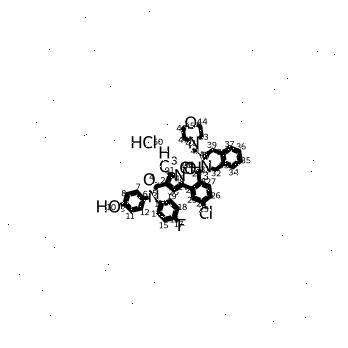 Cc1c(C(=O)N(c2ccc(O)cc2)c2ccc(F)cc2)cc(-c2cc(Cl)ccc2C(=O)N2Cc3ccccc3C[C@H]2CN2CCOCC2)n1C.Cl